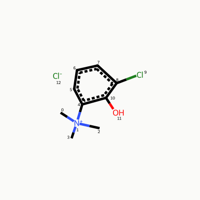 C[N+](C)(C)c1cccc(Cl)c1O.[Cl-]